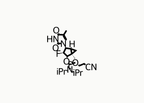 Cc1cn([C@H]2[C@@H](F)[C@H](OP(OCCC#N)N(C(C)C)C(C)C)[C@]3(C)C[C@H]23)c(=O)[nH]c1=O